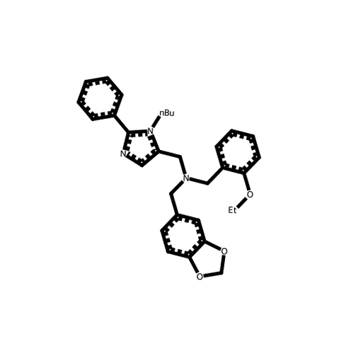 CCCCn1c(CN(Cc2ccc3c(c2)OCO3)Cc2ccccc2OCC)cnc1-c1ccccc1